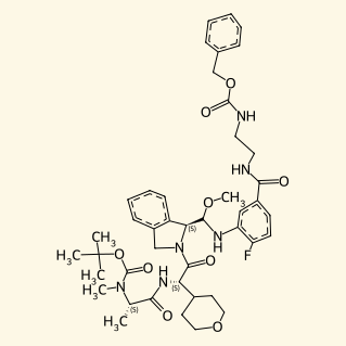 COC(Nc1cc(C(=O)NCCNC(=O)OCc2ccccc2)ccc1F)[C@@H]1c2ccccc2CN1C(=O)[C@@H](NC(=O)[C@H](C)N(C)C(=O)OC(C)(C)C)C1CCOCC1